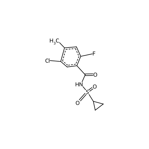 Cc1cc(F)c(C(=O)NS(=O)(=O)C2CC2)cc1Cl